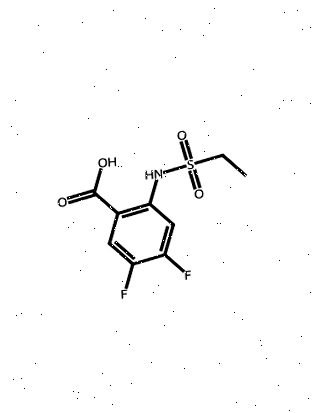 CCS(=O)(=O)Nc1cc(F)c(F)cc1C(=O)O